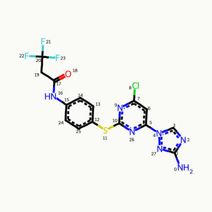 Nc1ncn(-c2cc(Cl)nc(Sc3ccc(NC(=O)CC(F)(F)F)cc3)n2)n1